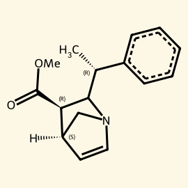 COC(=O)[C@H]1C([C@H](C)c2ccccc2)N2C=C[C@@H]1C2